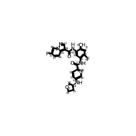 Cc1cc(F)c(NC(=O)c2ccc(N[C@H]3CCOC3)cn2)cc1NC(=O)c1cnn2cc(F)ccc12